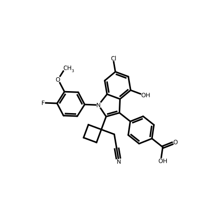 COc1cc(-n2c(C3(CC#N)CCC3)c(-c3ccc(C(=O)O)cc3)c3c(O)cc(Cl)cc32)ccc1F